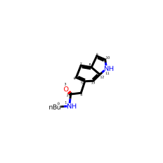 CCCCNC(=O)Cc1ccc2cc[nH]c2c1